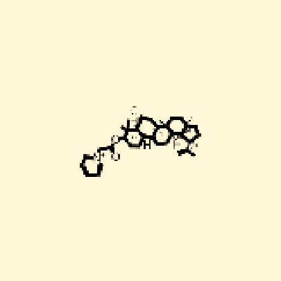 C=C(C)[C@@H]1CC[C@]2(C)CC[C@]3(C)[C@H](CC[C@@H]4[C@@]5(C)CCC(OC(=O)C[n+]6ccccc6)C(C)(C)[C@@H]5CC[C@]43C)[C@@H]12.[Cl-]